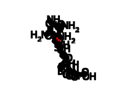 CC(=O)[C@@H](CCC(=O)O)NC(=O)N[C@H](CCCCN(Cc1ccc(Br)cc1)C(=O)c1ccc(CNC(=S)Nc2ccc(CC3CN(CC(N)=O)CCN(CC(N)=O)CCN(CC(N)=O)CCN3CC(N)=O)cc2)cc1)C(=O)O